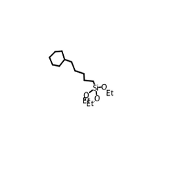 CCO[Si](CCCCCC1CCCCC1)(OCC)OCC